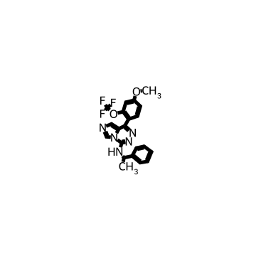 COc1ccc(-c2nnc(NC(C)c3ccccc3)n3cncc23)c(OC(F)(F)F)c1